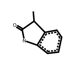 CC1C(=O)[N]c2ccccc21